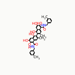 Cc1cccc(CNC(=O)c2c(O)c(O)cc3c(O)c(-c4c(C)cc5c(C(=O)NCc6cccc(C)c6)c(O)c(O)cc5c4O)c(C)cc23)c1